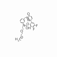 COCCOCCN(C(=O)O)c1cccc(Cn2nc(-c3ccc(F)c(F)c3)ccc2=O)c1